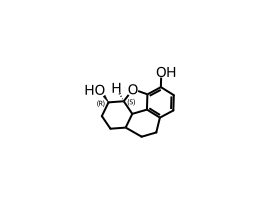 Oc1ccc2c3c1O[C@H]1C3C(CC2)CC[C@H]1O